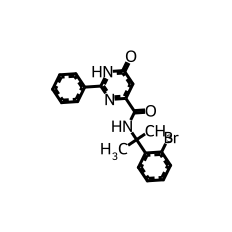 CC(C)(NC(=O)c1cc(=O)[nH]c(-c2ccccc2)n1)c1ccccc1Br